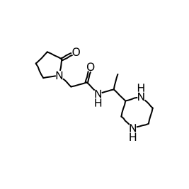 CC(NC(=O)CN1CCCC1=O)C1CNCCN1